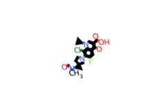 CN(C=O)C1CC12CCN(c1c(F)cc3c(=O)c(C(=O)O)cn(C4CC4)c3c1Cl)C2